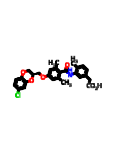 Cc1ccc(CC(=O)O)cc1NC(=O)c1c(C)cc(OC[C@@H]2COc3ccc(Cl)cc3O2)cc1C